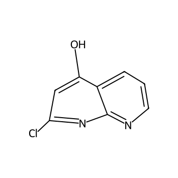 Oc1cc(Cl)nc2ncccc12